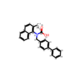 Cc1ccc2ccccc2c1N(Cc1ccc(-c2ccccc2)cc1)C(=O)O